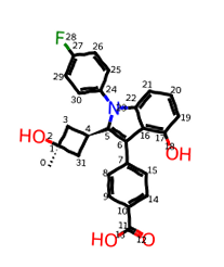 C[C@]1(O)C[C@@H](c2c(-c3ccc(C(=O)O)cc3)c3c(O)cccc3n2-c2ccc(F)cc2)C1